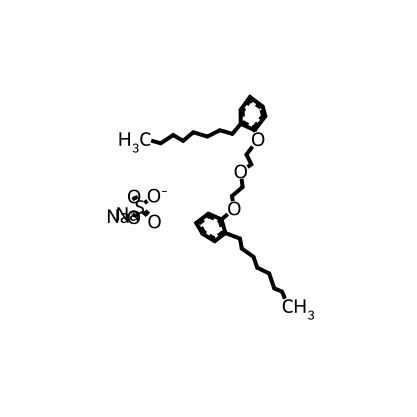 CCCCCCCCc1ccccc1OCCOCCOc1ccccc1CCCCCCCC.O=S(=O)([O-])[O-].[Na+].[Na+]